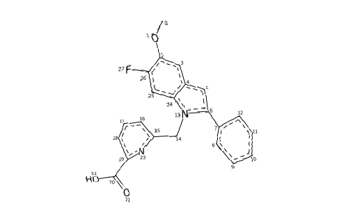 COc1cc2cc(-c3ccccc3)n(Cc3cccc(C(=O)O)n3)c2cc1F